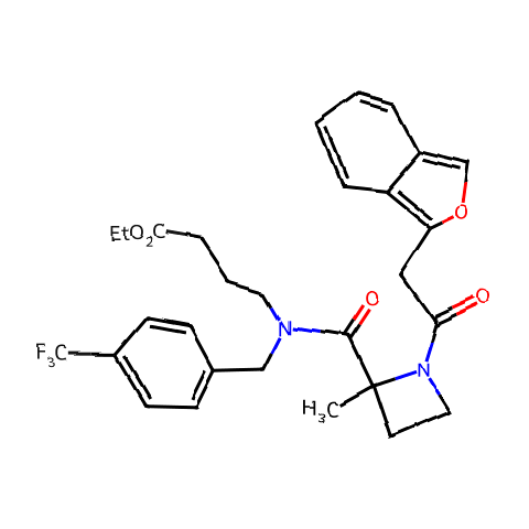 CCOC(=O)CCCN(Cc1ccc(C(F)(F)F)cc1)C(=O)C1(C)CCN1C(=O)Cc1occ2ccccc12